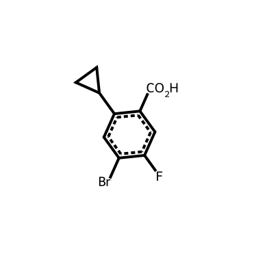 O=C(O)c1cc(F)c(Br)cc1C1CC1